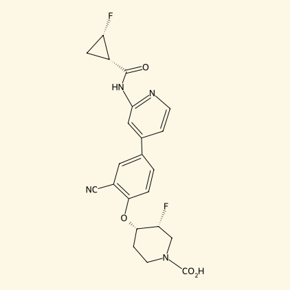 N#Cc1cc(-c2ccnc(NC(=O)[C@@H]3C[C@@H]3F)c2)ccc1O[C@H]1CCN(C(=O)O)C[C@H]1F